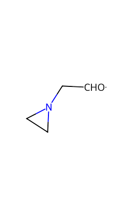 O=[C]CN1CC1